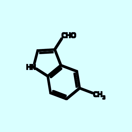 Cc1ccc2[nH]cc(C=O)c2c1